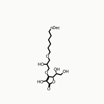 CCCCCCCCCCCCCCCCOCC(O)COC1=C(O)C(=O)O[C@@H]1[C@@H](O)CO